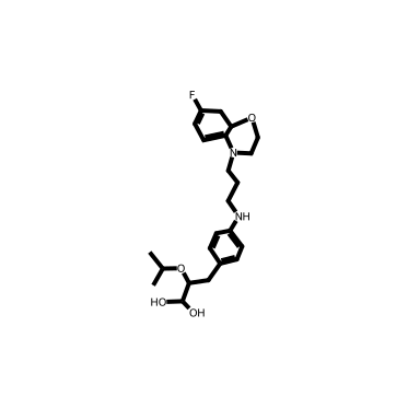 CC(C)OC(Cc1ccc(NCCCN2CCOC3CC(F)=CC=C32)cc1)C(O)O